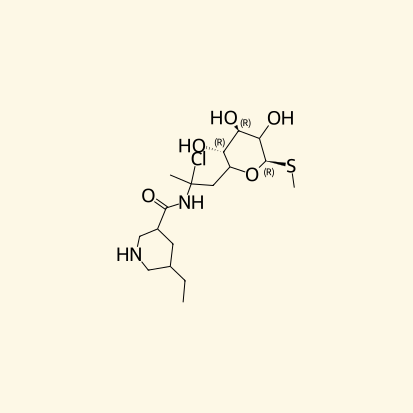 CCC1CNCC(C(=O)NC(C)(Cl)CC2O[C@H](SC)C(O)[C@H](O)[C@H]2O)C1